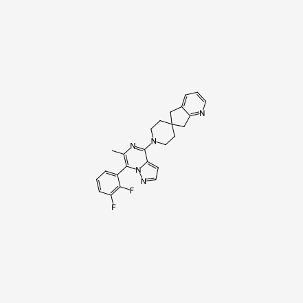 Cc1nc(N2CCC3(CC2)Cc2cccnc2C3)c2ccnn2c1-c1cccc(F)c1F